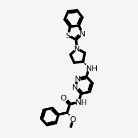 CO[C@@H](C(=O)Nc1ccc(N[C@@H]2CCN(c3nc4ccccc4s3)C2)nn1)c1ccccc1